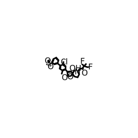 Cc1cc(-c2cccc(S(C)(=O)=O)c2)c(Cl)cc1C1=C(O)C2(CCCN(CC(=O)C(C)(CF)CF)C2)OC1=O